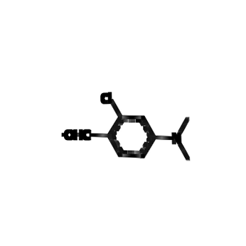 CN(C)c1ccc([C]=O)c(Cl)c1